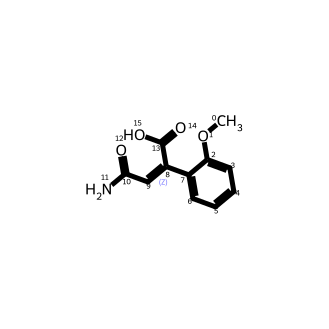 COc1ccccc1/C(=C/C(N)=O)C(=O)O